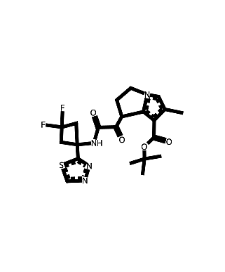 Cc1cn2c(c1C(=O)OC(C)(C)C)C(C(=O)C(=O)NC1(c3nncs3)CC(F)(F)C1)CC2